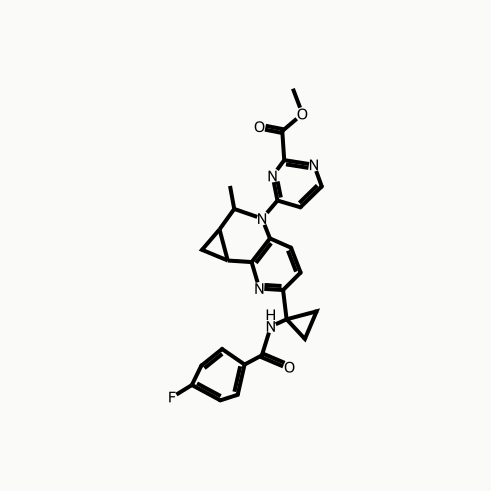 COC(=O)c1nccc(N2c3ccc(C4(NC(=O)c5ccc(F)cc5)CC4)nc3C3CC3C2C)n1